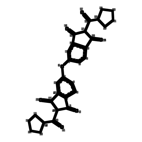 O=C1c2ccc(Oc3ccc4c(c3)C(=O)C(C(=O)C3CCCC3)C4=O)cc2C(=O)C1C(=O)C1CCCC1